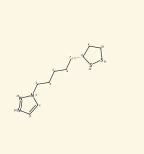 c1cn(CCCCC[C@@H]2CCSS2)nn1